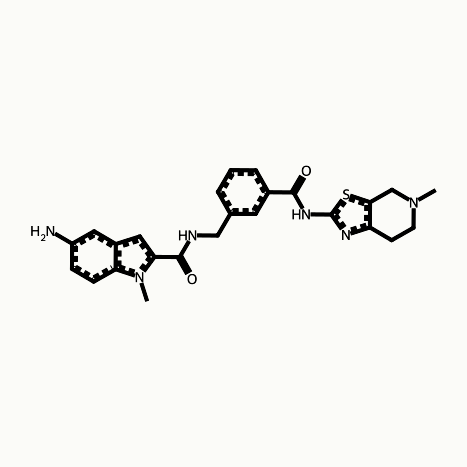 CN1CCc2nc(NC(=O)c3cccc(CNC(=O)c4cc5cc(N)ccc5n4C)c3)sc2C1